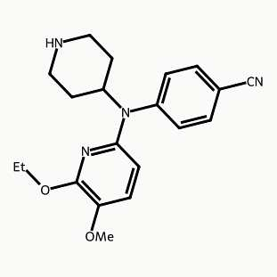 CCOc1nc(N(c2ccc(C#N)cc2)C2CCNCC2)ccc1OC